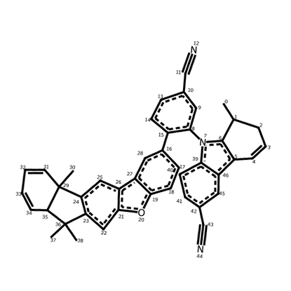 CC1CC=Cc2c1n(-c1cc(C#N)ccc1-c1ccc3oc4cc5c(cc4c3c1)C1(C)C=CC=CC1C5(C)C)c1ccc(C#N)cc21